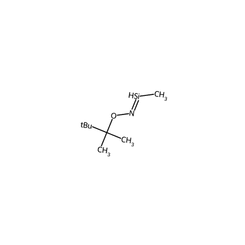 C[SiH]=NOC(C)(C)C(C)(C)C